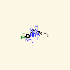 Cc1cc(Nc2cncc(Nc3ccc(C(F)(F)F)c(N)c3)n2)n[nH]1